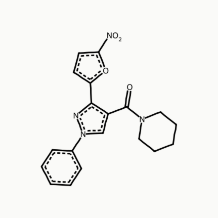 O=C(c1cn(-c2ccccc2)nc1-c1ccc([N+](=O)[O-])o1)N1CCCCC1